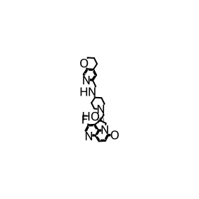 O=c1ccc2ncc(F)c3c2n1C[C@@]3(O)CN1CCC(NCc2cc3c(cn2)OCCC3)CC1